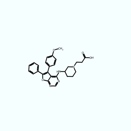 COc1ccc(-c2c(-c3ccccc3)oc3ncnc(NC4CCCN(CCC(=O)O)C4)c23)cc1